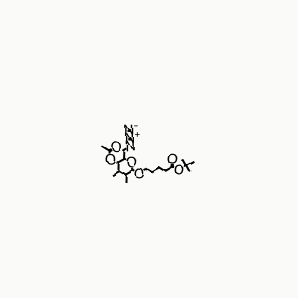 CC(=O)OC1C(CN=[N+]=[N-])OC(OCCCCC(=O)OC(C)(C)C)C(C)C1C